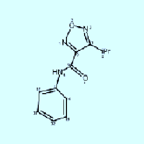 CC(C)c1nonc1C(=O)Nc1ccccc1